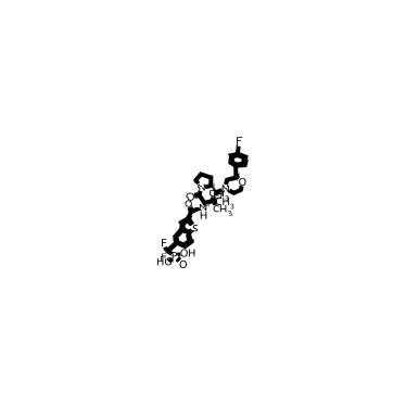 CC(C)(C)[C@H](NC(=O)c1cc2cc(C(F)(F)P(=O)(O)O)ccc2s1)C(=O)N1CCC[C@H]1C(=O)N1CCOC(c2ccc(F)cc2)C1